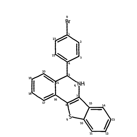 Brc1ccc(C2Nc3c(sc4ccccc34)-c3ccccc32)cc1